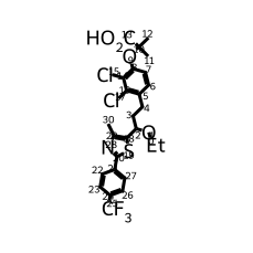 CCOC(CCc1ccc(OC(C)(C)C(=O)O)c(Cl)c1Cl)c1sc(-c2ccc(C(F)(F)F)cc2)nc1C